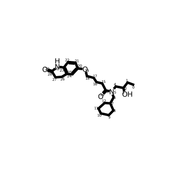 CCC(O)CN(CC1CCCCC1)C(=O)CCCCOc1ccc2c(c1)CCC(=O)N2